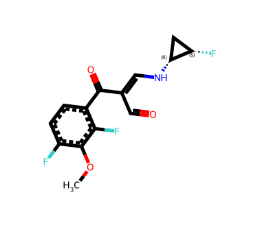 COc1c(F)ccc(C(=O)C(C=O)=CN[C@@H]2C[C@@H]2F)c1F